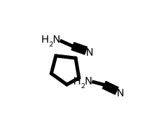 C1CCCC1.N#CN.N#CN